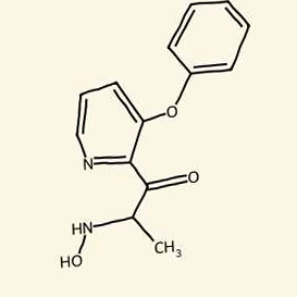 CC(NO)C(=O)c1ncccc1Oc1ccccc1